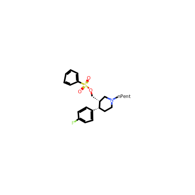 CCCCCN1CC[C@H](c2ccc(F)cc2)[C@H](COS(=O)(=O)c2ccccc2)C1